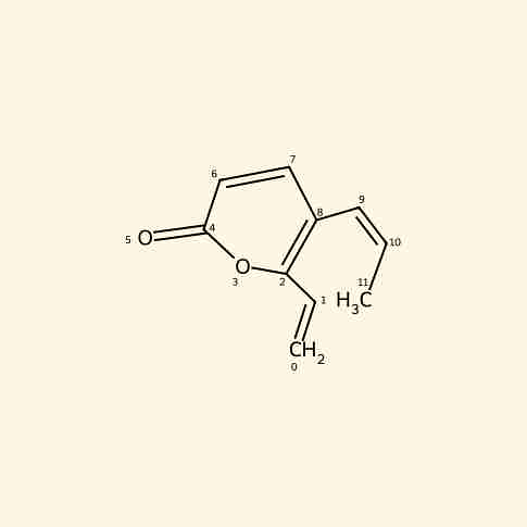 C=Cc1oc(=O)ccc1/C=C\C